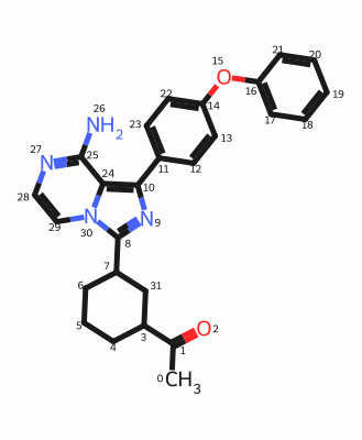 CC(=O)C1CCCC(c2nc(-c3ccc(Oc4ccccc4)cc3)c3c(N)nccn23)C1